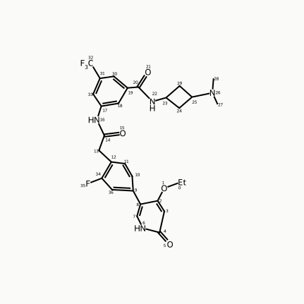 CCOc1cc(=O)[nH]cc1-c1ccc(CC(=O)Nc2cc(C(=O)NC3CC(N(C)C)C3)cc(C(F)(F)F)c2)c(F)c1